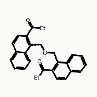 CCC(=O)c1ccc2ccccc2c1COCc1c(C(=O)CC)ccc2ccccc12